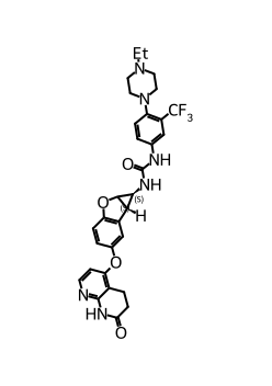 CCN1CCN(c2ccc(NC(=O)N[C@@H]3C4Oc5ccc(Oc6ccnc7c6CCC(=O)N7)cc5[C@H]43)cc2C(F)(F)F)CC1